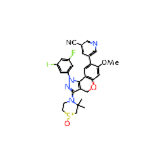 COc1cc2c(cc1-c1cncc(C#N)c1)-c1c(c(N3CC[S+]([O-])CC3(C)C)nn1-c1cc(F)cc(F)c1)CO2